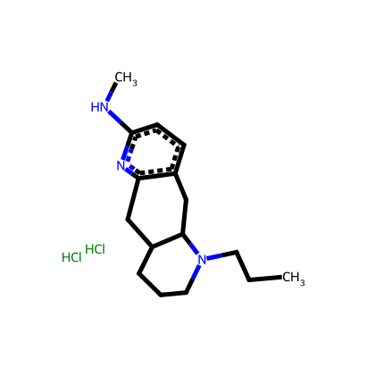 CCCN1CCCC2Cc3nc(NC)ccc3CC21.Cl.Cl